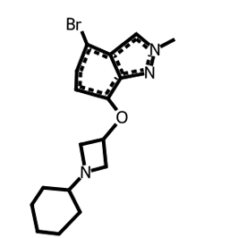 Cn1cc2c(Br)ccc(OC3CN(C4CCCCC4)C3)c2n1